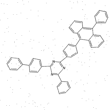 c1ccc(-c2ccc(-c3nc(-c4ccccc4)nc(-c4ccc(-c5c6ccccc6c(-c6ccccc6)c6ccccc56)cc4)n3)cc2)cc1